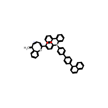 C=C1/C=C\C=C(\c2ccc(N(c3ccc(-c4ccc(-c5cccc6ccccc56)cc4)cc3)c3ccccc3-c3ccccc3)cc2)Oc2ccccc21